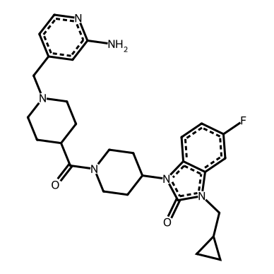 Nc1cc(CN2CCC(C(=O)N3CCC(n4c(=O)n(CC5CC5)c5cc(F)ccc54)CC3)CC2)ccn1